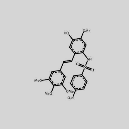 COc1cc(NS(=O)(=O)c2ccc([N+](=O)[O-])cc2)c(C=Cc2cc(OC)c(OC)c(OC)c2)cc1O